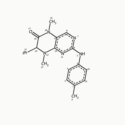 Cc1ccc(Nc2ncc3c(n2)N(C)C(C(C)C)C(=O)N3C)cc1